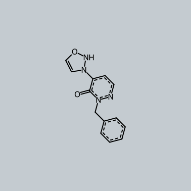 O=c1c(N2C=CON2)ccnn1Cc1ccccc1